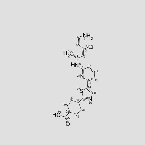 C=C(/C=C(Cl)\C=C/N)Nc1cccc(-c2cnc(C3CCC(C(=O)O)CC3)s2)n1